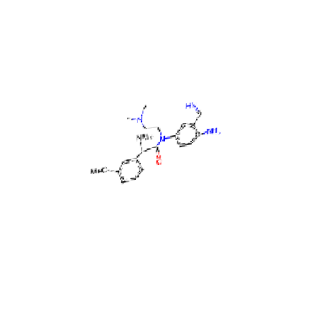 CNC(C(=O)N(CCN(C)C)c1ccc(N)c(C=N)c1)c1cccc(OC)c1